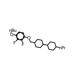 CCCCOc1ccc(OCC2CCC(C3CCC(CCC)CC3)CC2)c(F)c1F